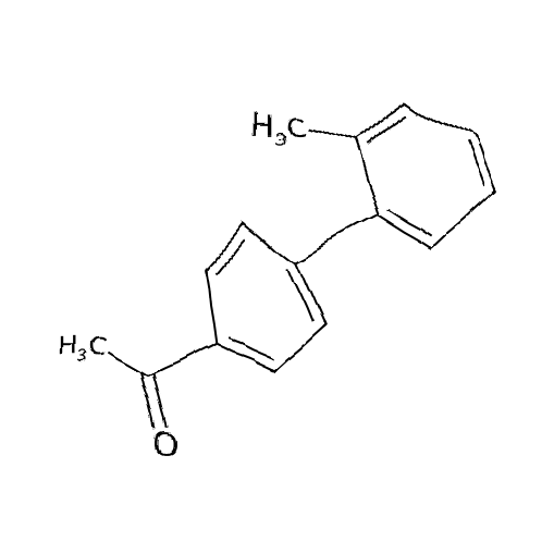 CC(=O)c1ccc(-c2ccccc2C)cc1